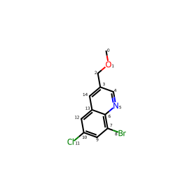 COCc1cnc2c(Br)cc(Cl)cc2c1